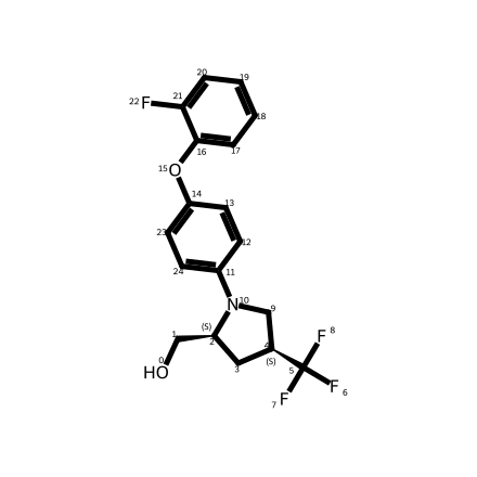 OC[C@@H]1C[C@H](C(F)(F)F)CN1c1ccc(Oc2ccccc2F)cc1